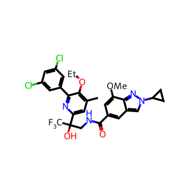 CCOc1c(C)cc(C(O)(CNC(=O)c2cc(OC)c3nn(C4CC4)cc3c2)C(F)(F)F)nc1-c1cc(Cl)cc(Cl)c1